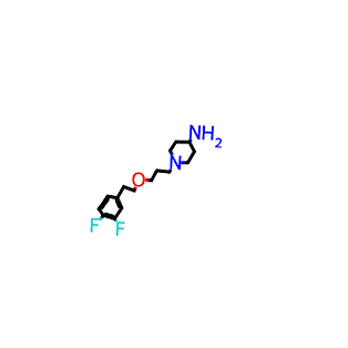 NC1CCN(CCCOCCc2ccc(F)c(F)c2)CC1